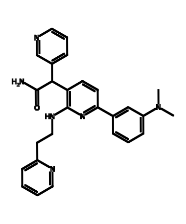 CN(C)c1cccc(-c2ccc(C(C(N)=O)c3cccnc3)c(NCCc3ccccn3)n2)c1